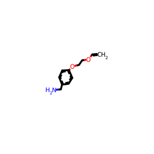 C=COCCOc1ccc(CN)cc1